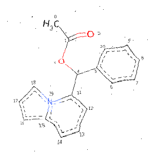 CC(=O)OC(c1ccccc1)c1cccc2cccn12